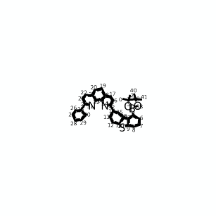 CC1(C)OB(c2cccc3sc4ccc(-c5ccc6ccc7ccc(-c8ccccc8)nc7c6n5)cc4c23)OC1(C)C